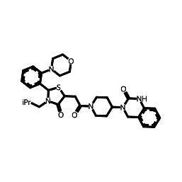 CC(C)CN1C(=O)C(CC(=O)N2CCC(N3Cc4ccccc4NC3=O)CC2)SC1c1ccccc1N1CCOCC1